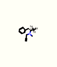 [2H]C([2H])([2H])[C@H](Cc1ccccc1)N(C)CC#C